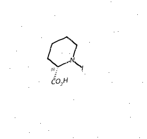 O=C(O)[C@@H]1CCCCN1I